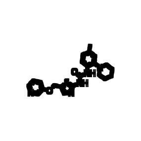 Cc1ccc(NC(=O)Nc2ncc(COc3cccnc3)s2)c(N2CCCCC2)c1